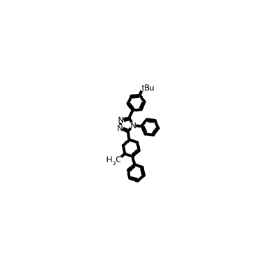 CC1CC(c2nnc(-c3ccc(C(C)(C)C)cc3)n2-c2ccccc2)CC=C1c1ccccc1